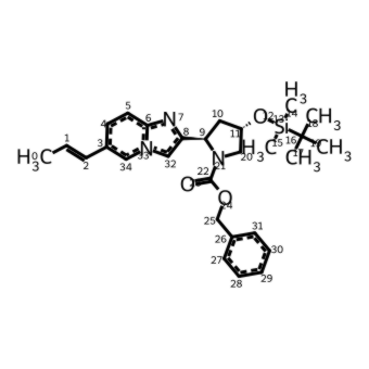 C/C=C/c1ccc2nc([C@H]3C[C@H](O[Si](C)(C)C(C)(C)C)CN3C(=O)OCc3ccccc3)cn2c1